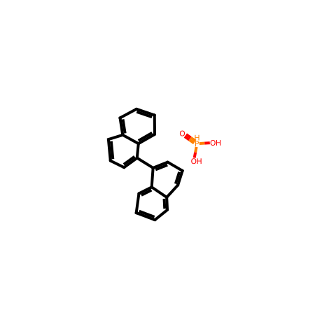 O=[PH](O)O.c1ccc2c(-c3cccc4ccccc34)cccc2c1